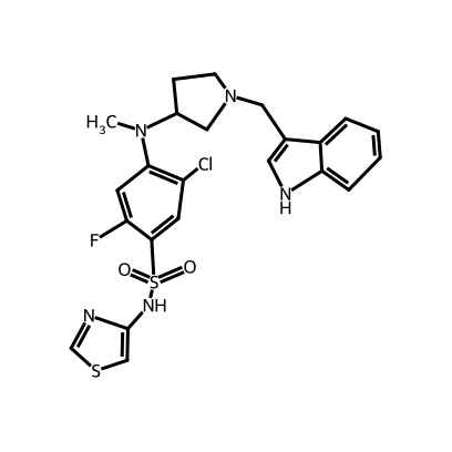 CN(c1cc(F)c(S(=O)(=O)Nc2cscn2)cc1Cl)C1CCN(Cc2c[nH]c3ccccc23)C1